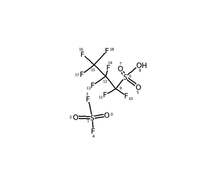 O=S(=O)(F)F.O=S(=O)(O)C(F)(F)C(F)(F)C(F)(F)F